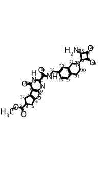 COC(=O)C1Cc2sc3nc(C(=O)NCc4ccc5c(c4)CN(C4C(=O)C(=O)C4N)CC5)[nH]c(=O)c3c2C1